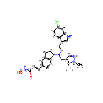 Cc1c(CN(CCc2c[nH]c3cc(Cl)ccc23)C2CCc3cc(C=CC(=O)NO)ccc32)cnn1C